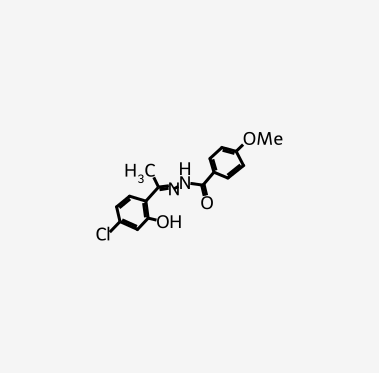 COc1ccc(C(=O)N/N=C(\C)c2ccc(Cl)cc2O)cc1